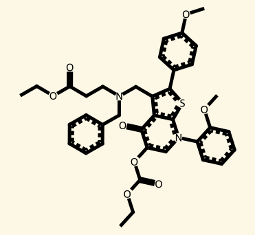 CCOC(=O)CCN(Cc1ccccc1)Cc1c(-c2ccc(OC)cc2)sc2c1c(=O)c(OC(=O)OCC)cn2-c1ccccc1OC